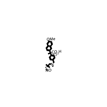 COc1ccc2cc([C@@](C)(C(=O)O)c3ccc(CN(C)CC(C)(C)SN=O)cc3)ccc2c1.Cl